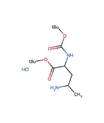 CC(N)CC(NC(=O)OC(C)(C)C)C(=O)OC(C)(C)C.Cl